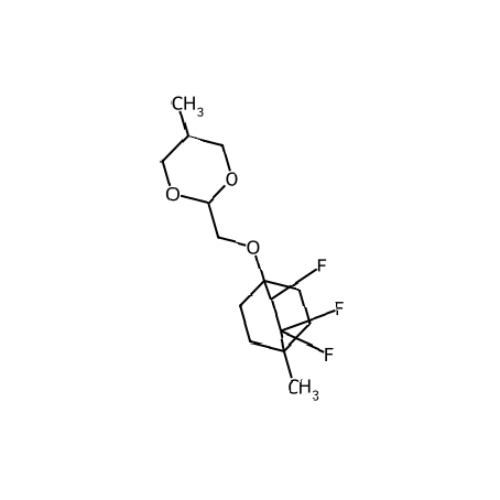 CC1COC(COC23CCC(C)(CC2)C(F)(F)C3F)OC1